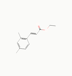 CCOC(=O)C=Cc1ccc(C)cc1C